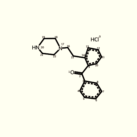 Cl.O=C(c1ccccc1)c1ccccc1CCN1CCNCC1